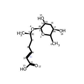 CC1O[C@@H](O[C@H](C)CC/C=C/C(=O)O)[C@@H](O)C[C@H]1O